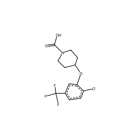 O=C(O)N1CCC(Oc2cc(C(F)(F)F)ccc2Cl)CC1